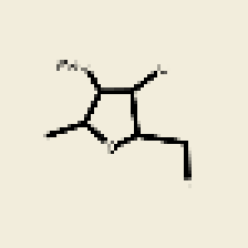 COC1C(C)OC(CO)C1O